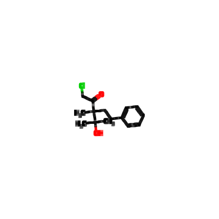 CC(C)(O)C(C)(CCc1ccccc1)C(=O)CCl